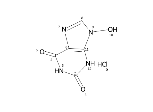 Cl.O=c1[nH]c(=O)c2ncn(O)c2[nH]1